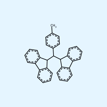 Cc1ccc(C(C2c3ccccc3-c3ccccc32)C2c3ccccc3-c3ccccc32)cc1